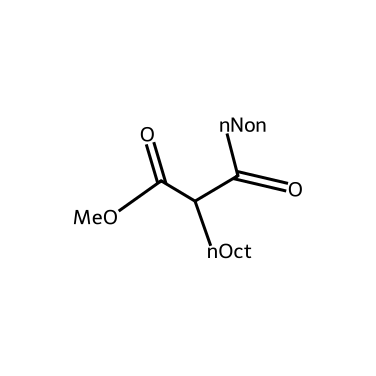 CCCCCCCCCC(=O)C(CCCCCCCC)C(=O)OC